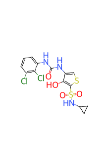 O=C(Nc1csc(S(=O)(=O)NC2CC2)c1O)Nc1cccc(Cl)c1Cl